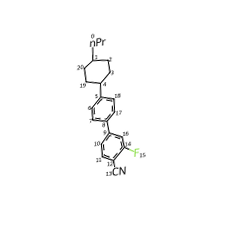 CCCC1CCC(c2ccc(-c3ccc(C#N)c(F)c3)cc2)CC1